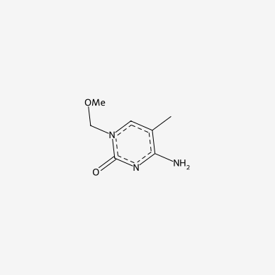 COCn1cc(C)c(N)nc1=O